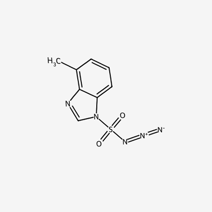 Cc1cccc2c1ncn2S(=O)(=O)N=[N+]=[N-]